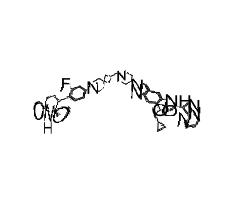 O=C1CCC(c2ccc(N3CCC4(CC3)CC(CN3CCC(n5cc6cc(NC(=O)c7cnn8cccnc78)c(OCC7CC7)cc6n5)CC3)C4)cc2F)C(=O)N1